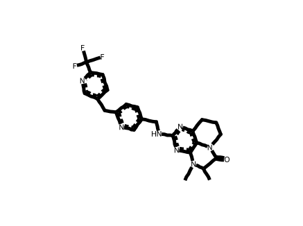 CC1C(=O)N2CCCc3nc(NCc4ccc(Cc5ccc(C(F)(F)F)nc5)nc4)nc(c32)N1C